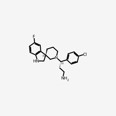 NCC[C@@H](c1ccc(Cl)cc1)N1CCC[C@]2(CNc3ccc(F)cc32)C1